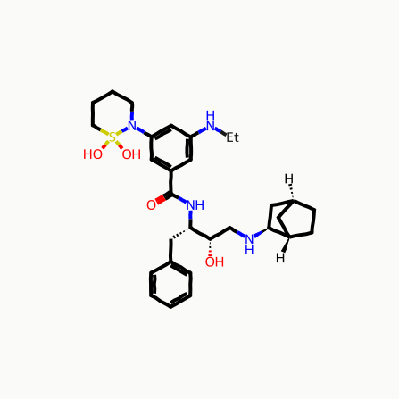 CCNc1cc(C(=O)N[C@@H](Cc2ccccc2)[C@@H](O)CN[C@H]2C[C@H]3CC[C@H]2C3)cc(N2CCCCS2(O)O)c1